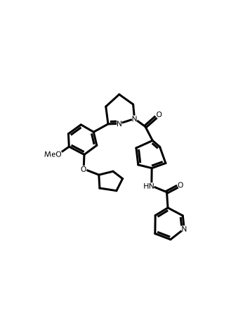 COc1ccc(C2=NN(C(=O)c3ccc(NC(=O)c4cccnc4)cc3)CCC2)cc1OC1CCCC1